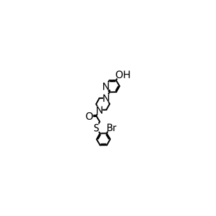 O=C(CSc1ccccc1Br)N1CCN(c2ccc(O)cn2)CC1